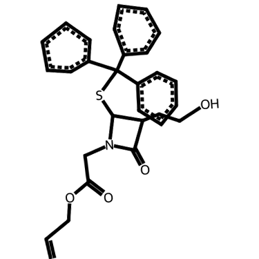 C=CCOC(=O)CN1C(=O)C(CCO)C1SC(c1ccccc1)(c1ccccc1)c1ccccc1